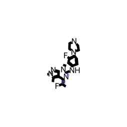 C=N/C(=N\C(=C(/C)F)c1cnn(C)c1C)Nc1ccc(N2CCN(C)CC2)c(F)c1